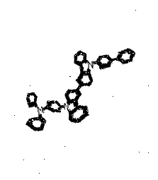 c1ccc(-c2ccc(-n3c4ccccc4c4cc(-c5ccc6c(c5)c5ccccc5n6-c5ccc(N(c6ccccc6)c6ccccc6)cc5)ccc43)cc2)cc1